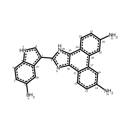 Bc1ccc2[nH]cc(-c3nc4c5ccc(N)cc5c5cc(N)ccc5c4[nH]3)c2c1